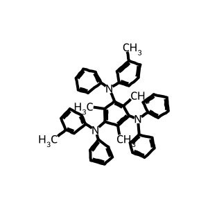 Cc1cccc(N(c2ccccc2)c2c(C)c(N(c3ccccc3)c3ccccc3)c(C)c(N(c3ccccc3)c3cccc(C)c3)c2C)c1